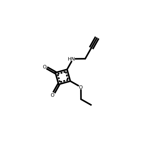 C#CCNc1c(OCC)c(=O)c1=O